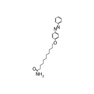 NC(=O)CCCCCCCCCCOc1ccc(/N=N/c2ccccc2)cc1